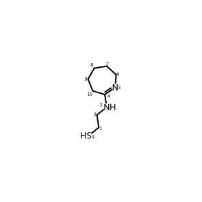 SCCNC1=NCCCCC1